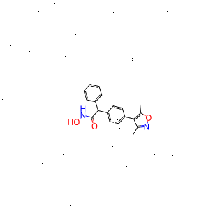 Cc1noc(C)c1-c1ccc(C(C(=O)NO)c2ccccc2)cc1